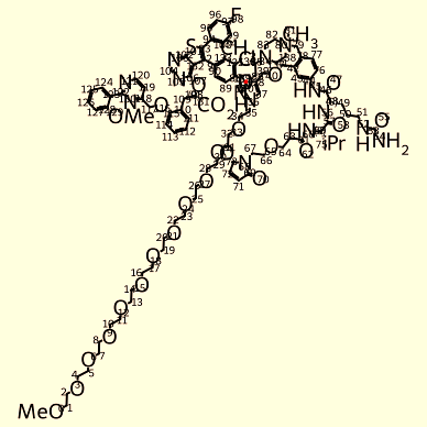 COCCOCCOCCOCCOCCOCCOCCOCCOCCOCCOCCOCCn1cc(COCc2cc(NC(=O)[C@H](CCCNC(N)=O)NC(=O)[C@@H](NC(=O)CCOCCN3C(=O)C=CC3=O)C(C)C)ccc2C[N+]2(C)CCN(CCOc3ccc(-c4c(-c5ccc(F)cc5)sc5ncnc(O[C@H](Cc6ccccc6OCc6ccnc(-c7ccccc7OC)n6)C(=O)O)c45)c(C)c3Cl)CC2)nn1